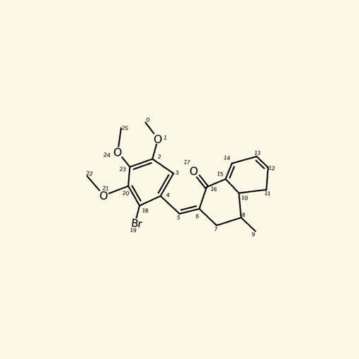 COc1cc(C=C2CC(C)C3CC=CC=C3C2=O)c(Br)c(OC)c1OC